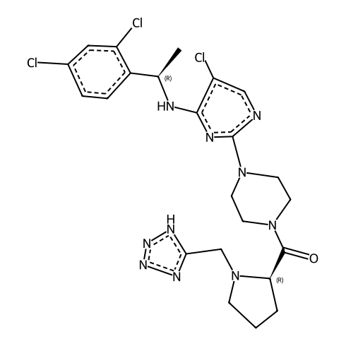 C[C@@H](Nc1nc(N2CCN(C(=O)[C@H]3CCCN3Cc3nnn[nH]3)CC2)ncc1Cl)c1ccc(Cl)cc1Cl